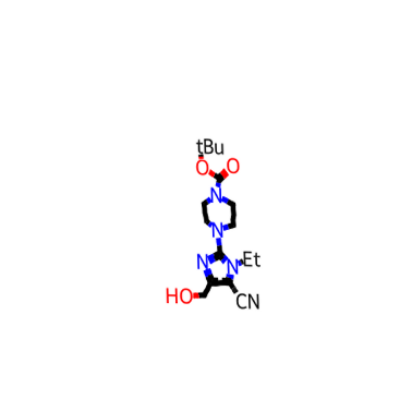 CCn1c(N2CCN(C(=O)OC(C)(C)C)CC2)nc(CO)c1C#N